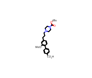 COc1cc(CCCN2CCN(C(=O)OC(C)(C)C)CC2)ccc1-c1ccc(C(=O)O)cc1